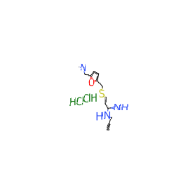 C#CCNC(=N)CCSCc1ccc(CN(C)C)o1.Cl.Cl